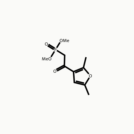 COP(=O)(CC(=O)c1cc(C)oc1C)OC